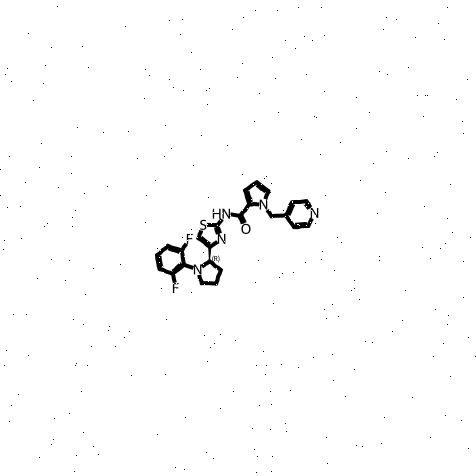 O=C(Nc1nc([C@H]2CCCN2c2c(F)cccc2F)cs1)c1cccn1Cc1ccncc1